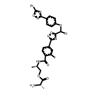 CCC(Oc1ccc(-c2noc(C(C)C)n2)cc1)c1nc(-c2ccc(C(=O)N[C@H](C)COC(=O)[C@H](C)N)c(F)c2)no1